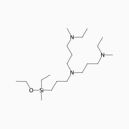 CCO[Si](C)(CC)CCCN(CCCN(C)CC)CCCN(C)CC